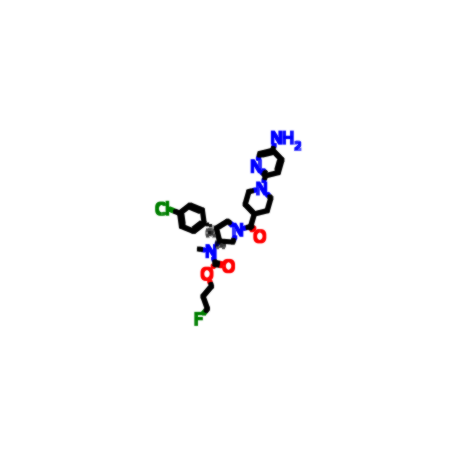 CN(C(=O)OCCCF)[C@@H]1CN(C(=O)C2CCN(c3ccc(N)cn3)CC2)C[C@H]1c1ccc(Cl)cc1